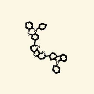 c1ccc(N2c3ccccc3Sc3cc(-c4ccc5sc6ccc(-c7ccc8c9ccccc9n(-c9ccccc9)c8c7)nc6c5n4)ccc32)cc1